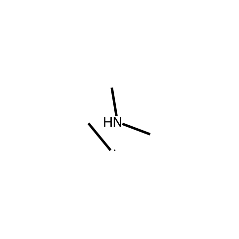 CNC.[CH2]C